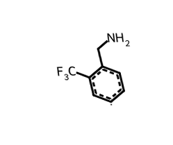 NCc1cc[c]cc1C(F)(F)F